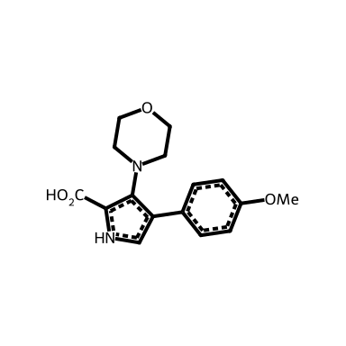 COc1ccc(-c2c[nH]c(C(=O)O)c2N2CCOCC2)cc1